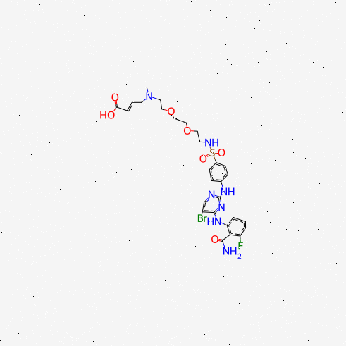 CN(C/C=C/C(=O)O)CCOCCOCCNS(=O)(=O)c1ccc(Nc2ncc(Br)c(Nc3cccc(F)c3C(N)=O)n2)cc1